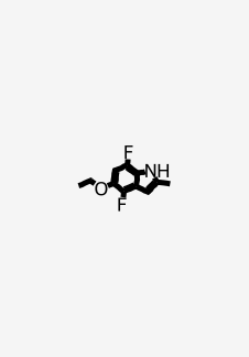 CCOc1cc(F)c2[nH]c(C)cc2c1F